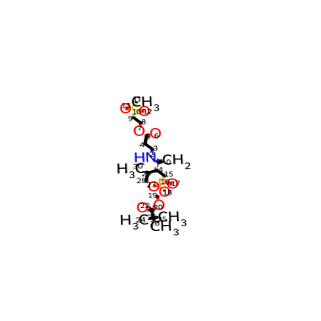 C=C(NCCC(=O)OCCS(C)(=O)=O)[C@@H]1CP(=O)(OCOC(=O)C(C)(C)C)OCC1C